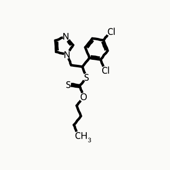 CCCCOC(=S)SC(Cn1ccnc1)c1ccc(Cl)cc1Cl